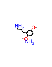 COc1ccc(OC)c(CCCN)c1.N